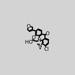 CN(C)c1c(Cl)ccc2c(=O)c3ccc(C4=CCOC4)cc3n(CC(=O)O)c12